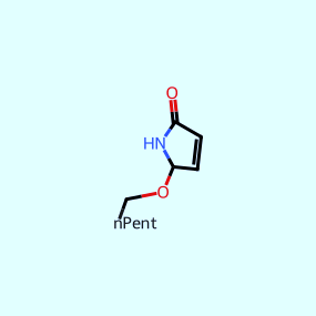 CCCCCCOC1C=CC(=O)N1